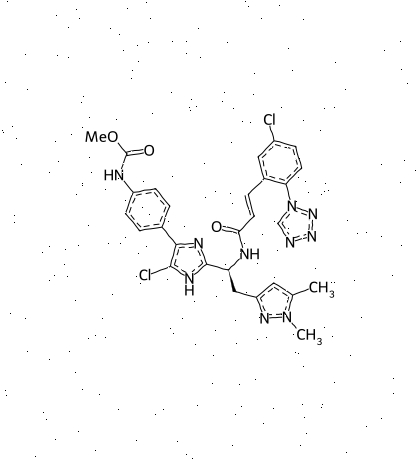 COC(=O)Nc1ccc(-c2nc([C@H](Cc3cc(C)n(C)n3)NC(=O)C=Cc3cc(Cl)ccc3-n3cnnn3)[nH]c2Cl)cc1